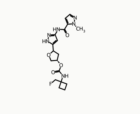 Cn1nccc1C(=O)Nc1cc(C2C[C@@H](OC(=O)NC3(CF)CCC3)CO2)[nH]n1